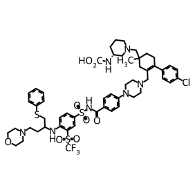 CC1(CN2CCC[C@@H](NC(=O)O)C2)CCC(c2ccc(Cl)cc2)=C(CN2CCN(c3ccc(C(=O)NS(=O)(=O)c4ccc(NC(CCN5CCOCC5)CSc5ccccc5)c(S(=O)(=O)C(F)(F)F)c4)cc3)CC2)C1